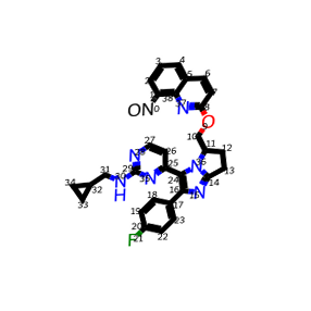 O=Nc1cccc2ccc(OCC3CCc4nc(-c5ccc(F)cc5)c(-c5ccnc(NCC6CC6)n5)n43)nc12